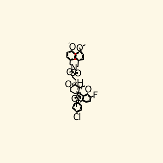 COc1ccc(CN(Cc2ccc(OC)cc2)S(=O)(=O)CC[C@H]2C(=O)CC[C@]3(S(=O)(=O)c4ccc(Cl)cc4)c4c(F)ccc(F)c4OC[C@H]23)cc1